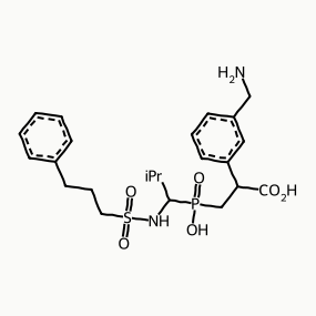 CC(C)C(NS(=O)(=O)CCCc1ccccc1)P(=O)(O)CC(C(=O)O)c1cccc(CN)c1